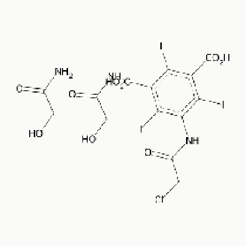 NC(=O)CO.NC(=O)CO.O=C(CCl)Nc1c(I)c(C(=O)O)c(I)c(C(=O)O)c1I